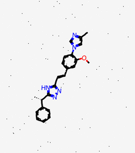 COc1cc(/C=C/c2nnc([C@@H](C)c3ccccc3)[nH]2)ccc1-n1cnc(C)c1